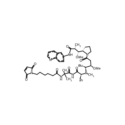 CC[C@H](C)[C@@H]([C@@H](CC(=O)N1CCC[C@H]1[C@H](OC)[C@@H](C)C(=O)Nc1ccc2ncccc2c1)OC)N(C)[C@H](C(=O)NC(=O)C(C)(C)NC(=O)CCCCCN1C(=O)C=CC1=O)C(C)C